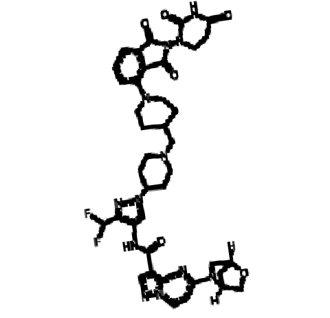 O=C1CCN(N2C(=O)c3cccc(N4CCC(CN5CCC(n6cc(NC(=O)c7cnn8ccc(N9C[C@H]%10C[C@@H]9CO%10)nc78)c(C(F)F)n6)CC5)CC4)c3C2=O)C(=O)N1